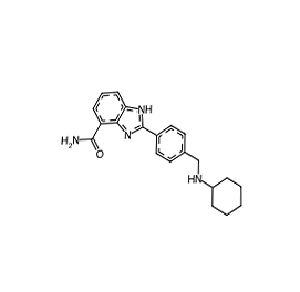 NC(=O)c1cccc2[nH]c(-c3ccc(CNC4CCCCC4)cc3)nc12